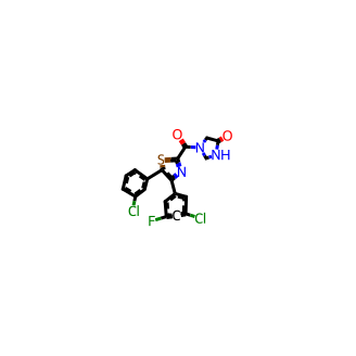 O=C1CN(C(=O)c2nc(-c3cc(F)cc(Cl)c3)c(-c3cccc(Cl)c3)s2)CN1